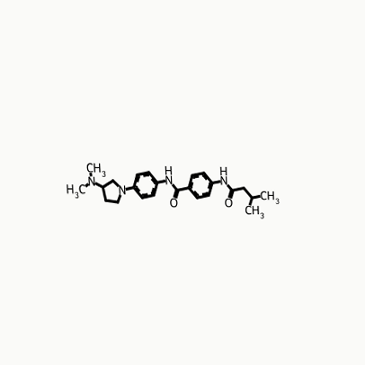 CC(C)CC(=O)Nc1ccc(C(=O)Nc2ccc(N3CCC(N(C)C)C3)cc2)cc1